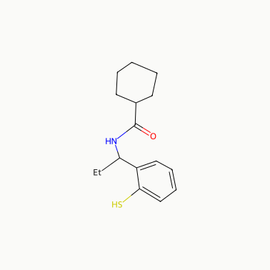 CCC(NC(=O)C1CCCCC1)c1ccccc1S